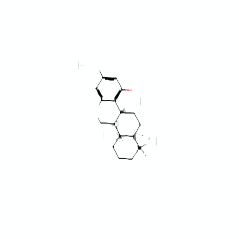 Cc1cc(O)c2c(c1)SC[C@@H]1[C@@]3(C)CCCC(C)(C)[C@@H]3CC[C@@]21C